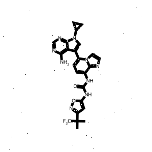 CC(C)(c1cc(NC(=O)Nc2ccc(-c3cn(C4CC4)c4ncnc(N)c34)n3ccnc23)on1)C(F)(F)F